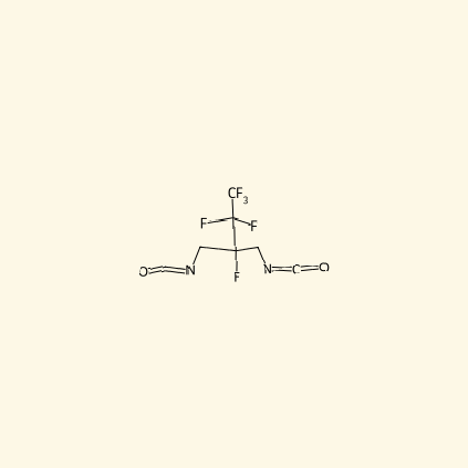 O=C=NCC(F)(CN=C=O)C(F)(F)C(F)(F)F